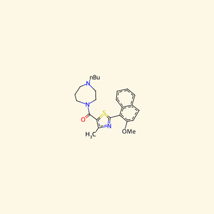 CCCCN1CCCN(C(=O)c2sc(-c3c(OC)ccc4ccccc34)nc2C)CC1